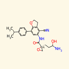 CC(C)c1ccc(-c2cc(NC(=O)[C@@]3(CCC(N)O)CO3)c(C#N)c3c2OCC3)cc1